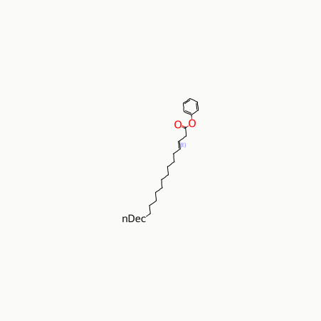 CCCCCCCCCCCCCCCCCCCC/C=C/CC(=O)Oc1ccccc1